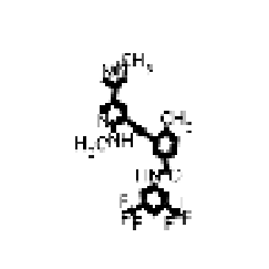 CNc1ncc(-c2cnn(C)c2)cc1C#Cc1cc(C(=O)Nc2cc(C(F)(F)F)cc(C(F)(F)F)c2)ccc1C